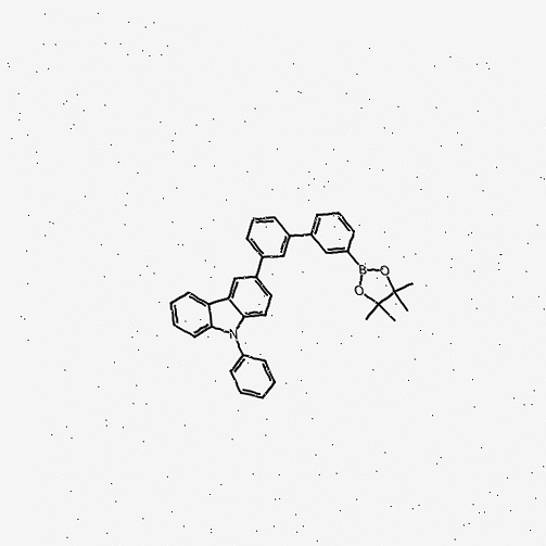 CC1(C)OB(c2cccc(-c3cccc(-c4ccc5c(c4)c4ccccc4n5-c4ccccc4)c3)c2)OC1(C)C